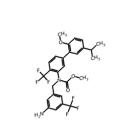 COC(=O)N(Cc1cc(N)cc(C(F)(F)F)c1)c1cc(-c2cc(C(C)C)ccc2OC)ccc1C(F)(F)F